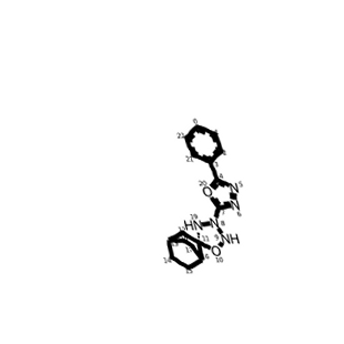 c1ccc(-c2nnc(N3NO[C@@]4(CC5CCC4CC5)N3)o2)cc1